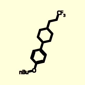 CCCCOc1ccc(C2CCC(CCC(F)(F)F)CC2)cc1